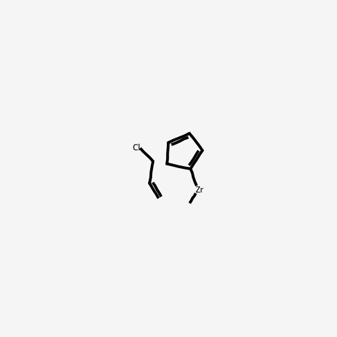 C=CCCl.[CH3][Zr][C]1=CC=CC1